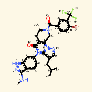 CNc1n[nH]c2cc(-n3c(=O)c4c(n5ncc(CC(C)C)c35)CN(C(=O)c3ccc(Br)c(C(F)(F)F)c3)[C@@H](C)C4)ccc12